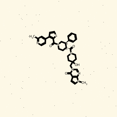 Cc1cc(-c2ccsc2C(=O)N2CC[C@@H](C(=O)N3CCC(O)(Cn4cnc5c(ccn5C)c4=O)CC3)[C@H](c3ccccc3)C2)ccn1